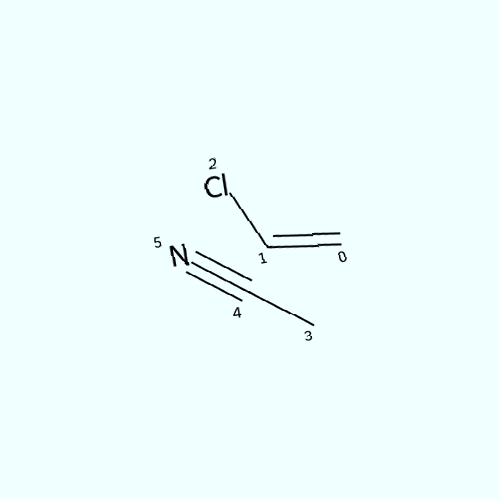 C=CCl.CC#N